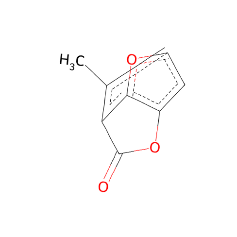 Cc1c2c3oc1cc3OC2=O